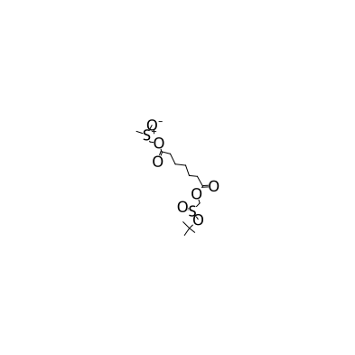 C[S+]([O-])COC(=O)CCCCCC(=O)OCS(=O)OC(C)(C)C